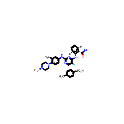 Cc1cc(Nc2ncc(F)c(N[C@H]3[C@@H](C(N)=O)[C@@H]4C=C[C@H]3C4)n2)ccc1N1CCN(C)CC1.Cc1ccc(S(=O)(=O)O)cc1